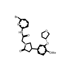 COc1ccc(C2CC(=O)N(CC(=O)Nc3cccc(Br)n3)C2)cc1O[C@@H]1CCOC1